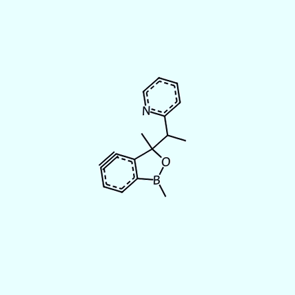 CB1OC(C)(C(C)c2ccccn2)c2c#cccc21